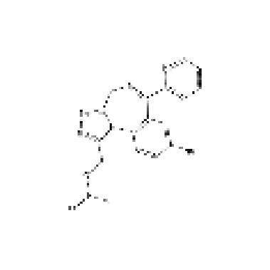 CCN(C)OCc1nnc2n1-c1ccc(Br)cc1C(c1ccccn1)=NC2